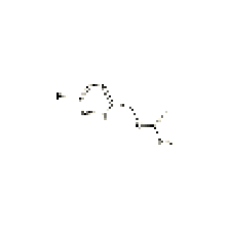 NC(=O)OCc1ncc(F)cn1